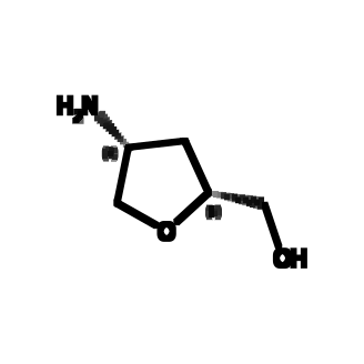 N[C@H]1CO[C@@H](CO)C1